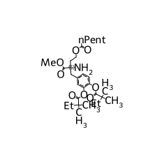 CCCCCC(=O)OCC[C@@](N)(Cc1ccc(OC(=O)C(C)(C)CC)c(OC(=O)C(C)(C)CC)c1)C(=O)OC